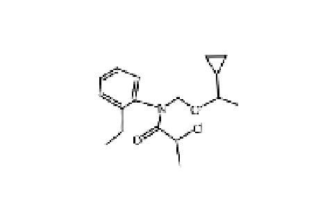 CCc1ccccc1N(COC(C)C1CC1)C(=O)C(C)Cl